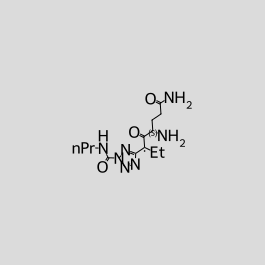 CCCNC(=O)n1nnc([C](CC)C(=O)[C@@H](N)CCC(N)=O)n1